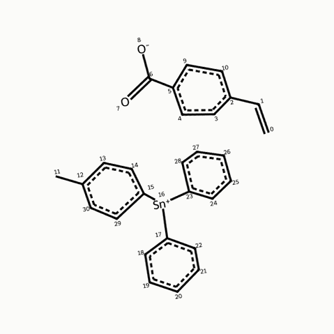 C=Cc1ccc(C(=O)[O-])cc1.Cc1cc[c]([Sn+]([c]2ccccc2)[c]2ccccc2)cc1